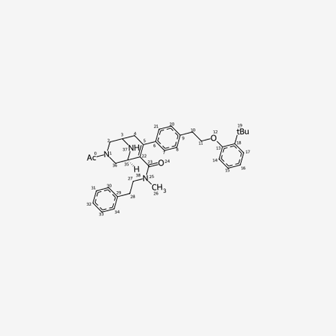 CC(=O)N1CC2CC(c3ccc(CCOc4ccccc4C(C)(C)C)cc3)=C(C(=O)N(C)CCc3ccccc3)[C@@H](C1)N2